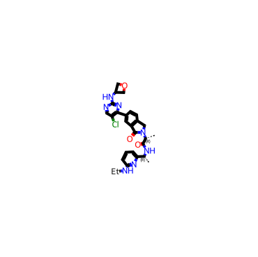 CCNc1cccc([C@@H](C)NC(=O)[C@@H](C)N2Cc3ccc(-c4nc(NC5COC5)ncc4Cl)cc3C2=O)n1